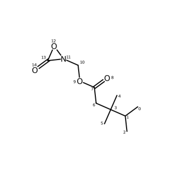 CC(C)C(C)(C)CC(=O)OCN1OC1=O